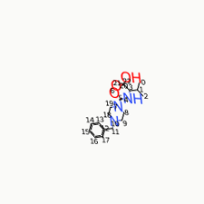 CC(C)C(NC(=O)N1CCN(Cc2ccccc2)CC1)C(=O)O